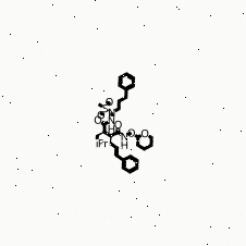 CC(C)C[C@@H](C(=O)NN(CCCc1ccccc1)S(C)(=O)=O)[C@H](CC=Cc1ccccc1)C(=O)NOC1CCCCO1